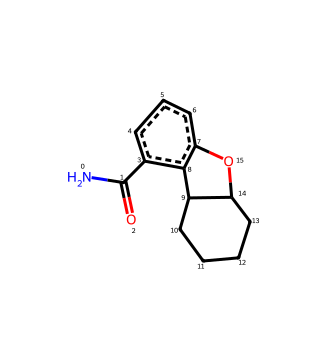 NC(=O)c1cccc2c1C1CCCCC1O2